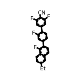 CCc1ccc2c(F)c(-c3ccc(-c4cc(F)c(C#N)c(F)c4)c(F)c3)ccc2c1